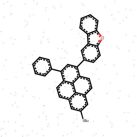 CC(C)(C)c1cc2ccc3c(-c4ccccc4)cc(-c4ccc5oc6ccccc6c5c4)c4ccc(c1)c2c34